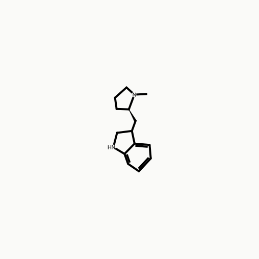 CN1CCC[C@@H]1CC1CNc2ccccc21